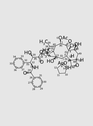 CC(=O)O[C@H]1C(=O)[C@@]2(C)[C@H]([C@H](C3BCCC3)[C@]3(O)C[C@H](OC(=O)[C@H](O)[C@@H](NC(=O)c4ccccc4)c4ccccc4)C(C)=C1C3(C)C)[C@]1(OC(C)=O)CO[C@@H]1C[C@@H]2O